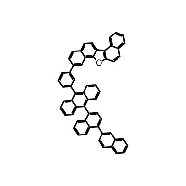 c1cc(-c2ccc3ccc4c(oc5ccc6ccccc6c54)c3c2)cc(-c2c3ccccc3c(-c3ccc(-c4ccc5ccccc5c4)c4ccccc34)c3ccccc23)c1